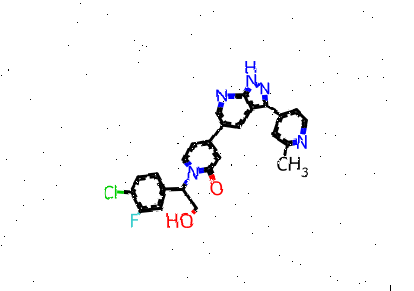 Cc1cc(-c2n[nH]c3ncc(-c4ccn(C(CO)c5ccc(Cl)c(F)c5)c(=O)c4)cc23)ccn1